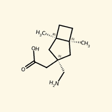 C[C@@]12CC[C@]1(C)C[C@](CN)(CC(=O)O)C2